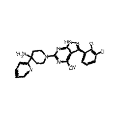 N#Cc1nc(N2CCC(N)(c3ccccn3)CC2)nc2[nH]nc(-c3cccc(Cl)c3Cl)c12